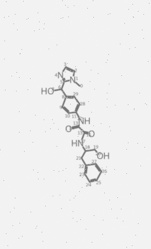 Cn1ccnc1C(O)c1ccc(NC(=O)C(=O)NC(CO)Cc2ccccc2)cc1